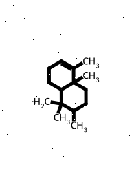 [CH2]C1(C)C(C)CCC2(C)C(C)=CCCC21